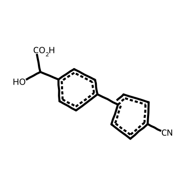 N#Cc1ccc(-c2ccc(C(O)C(=O)O)cc2)cc1